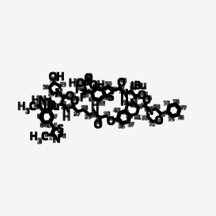 Cc1ncsc1-c1ccc([C@H](C)NC(=O)[C@@H]2C[C@@H](O)CN2C(=O)[C@@H](NC(=O)CCCNC(=O)COc2ccc3c(c2)CN(C(=O)[C@@H](NC(=O)c2cc4cc(C(F)(F)P(=O)(O)O)ccc4s2)C(C)(C)C)[C@H](C(=O)N2CCO[C@H](c4ccccc4)C2)C3)C(C)(C)C)cc1